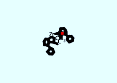 CC1=C2CCC3=C(C)[CH]([Zr][CH]1c1cccc(-c4ccccc4)c12)c1cccc(-c2ccccc2)c13